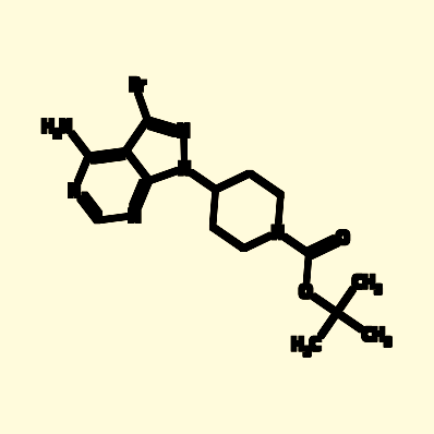 CC(C)(C)OC(=O)N1CCC(n2nc(Br)c3c(N)ncnc32)CC1